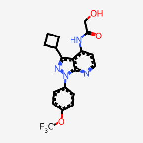 O=C(CO)Nc1ccnc2c1c(C1CCC1)nn2-c1ccc(OC(F)(F)F)cc1